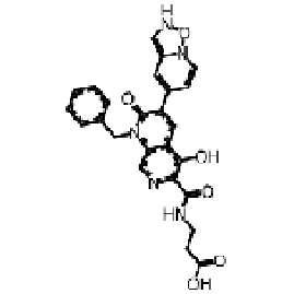 O=C(O)CCNC(=O)c1ncc2c(cc(C3=CC4=CNON4C=C3)c(=O)n2Cc2ccccc2)c1O